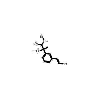 CCC/C=C/c1cccc(C(C)(C(=O)OCC)C(O)OCC)c1